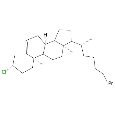 CC(C)CCCC[C@@H](C)[C@H]1CCC2[C@@H]3CC=C4C[C@@H](Cl)CC[C@]4(C)C3CC[C@@]21C